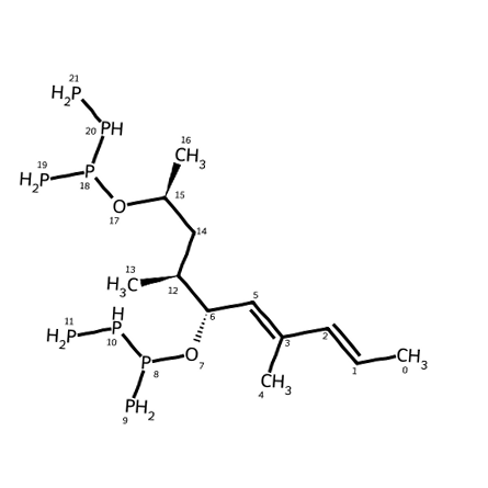 C/C=C/C(C)=C/[C@H](OP(P)PP)[C@@H](C)C[C@H](C)OP(P)PP